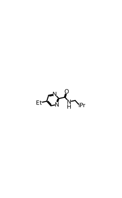 CCc1cnc(C(=O)NCC(C)C)nc1